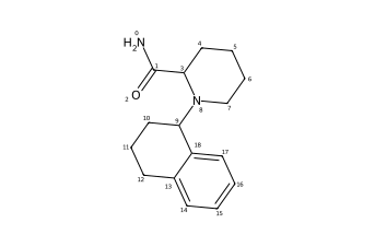 NC(=O)C1CCCCN1C1CCCc2ccccc21